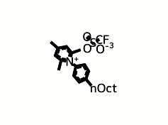 CCCCCCCCc1ccc(-[n+]2c(C)cc(C)cc2C)cc1.O=S(=O)([O-])C(F)(F)F